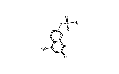 Cc1cc(=O)[nH]c2cc(OS(N)(=O)=O)ccc12